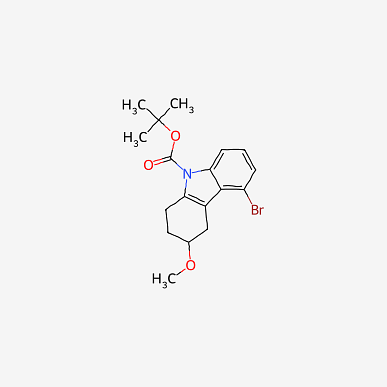 COC1CCc2c(c3c(Br)cccc3n2C(=O)OC(C)(C)C)C1